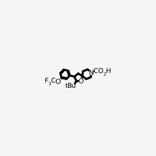 CC(C)(C)C1OC2(CCN(C(=O)O)CC2)CC1c1cccc(OC(F)(F)F)c1